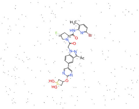 CC(=O)c1nn(CC(=O)N2C[C@H](F)C[C@H]2C(=O)Nc2nc(Br)ccc2C)c2ccc(-c3cnc(OC4CS(O)(O)C4)nc3)cc12